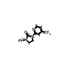 CC(C)N1CCN(c2cc(C(F)(F)F)ccn2)C1=O